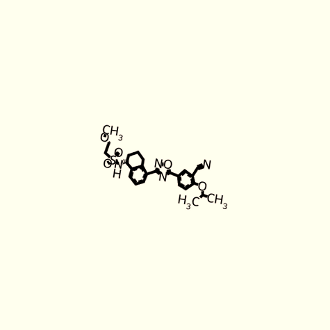 COCCS(=O)(=O)N[C@@H]1CCCc2c(-c3noc(-c4ccc(OC(C)C)c(C#N)c4)n3)cccc21